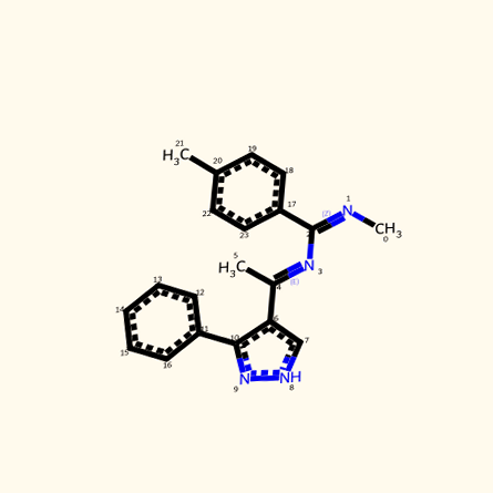 C/N=C(\N=C(/C)c1c[nH]nc1-c1ccccc1)c1ccc(C)cc1